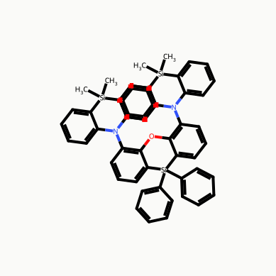 C[Si]1(C)c2ccccc2N(c2cccc3c2Oc2c(N4c5ccccc5[Si](C)(C)c5ccccc54)cccc2[Si]3(c2ccccc2)c2ccccc2)c2ccccc21